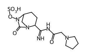 N=C(NC(=O)CN1CCCC1)C1CCC2CN1C(=O)N2OS(=O)(=O)O